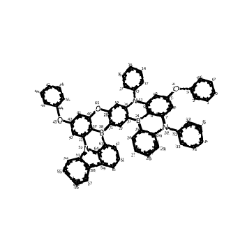 c1ccc(Oc2cc3c4c(c2)N(c2ccccc2)c2cc5c(cc2B4c2ccccc2N3c2ccccc2)B2c3c(cc(Oc4ccccc4)cc3-n3c4ccccc4c4cccc2c43)O5)cc1